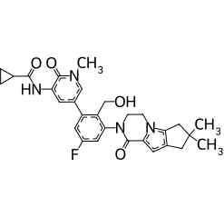 Cn1cc(-c2cc(F)cc(N3CCn4c(cc5c4CC(C)(C)C5)C3=O)c2CO)cc(NC(=O)C2CC2)c1=O